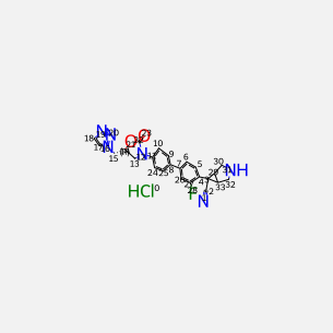 Cl.N#CC1(c2ccc(-c3ccc(N4C[C@H](Cn5ccnn5)OC4=O)cc3)cc2F)C2CNCC21